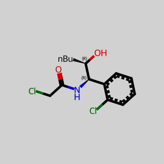 CCCC[C@@H](O)[C@H](NC(=O)CCl)c1ccccc1Cl